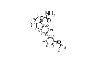 CCC1(CC)Cc2cc(-c3cccc(OC(C)C)c3)ccc2C1OC(N)=O